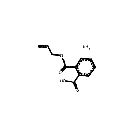 C=CCOC(=O)c1ccccc1C(=O)O.N